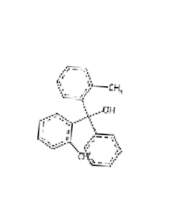 Cc1ccccc1C(O)(c1ccccc1)c1ccccc1C